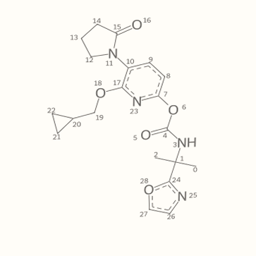 CC(C)(NC(=O)Oc1ccc(N2CCCC2=O)c(OCC2CC2)n1)c1ncco1